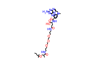 CCCC(C)(C)OCC(C)C(=O)NCCCOCCOCCOCCCNC(=O)CCC(NC(=O)c1ccc(N(C)Cc2cnc3nc(N)nc(N)c3n2)cc1)C(=O)O